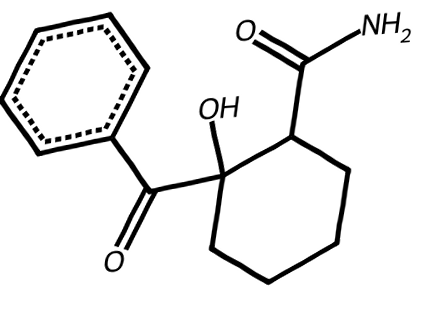 NC(=O)C1CCCCC1(O)C(=O)c1ccccc1